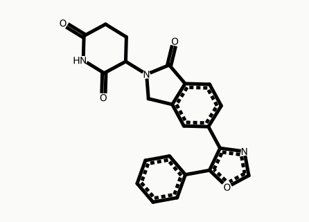 O=C1CCC(N2Cc3cc(-c4ncoc4-c4ccccc4)ccc3C2=O)C(=O)N1